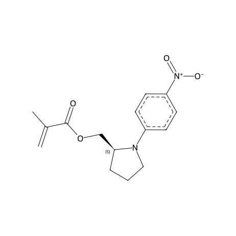 C=C(C)C(=O)OC[C@@H]1CCCN1c1ccc([N+](=O)[O-])cc1